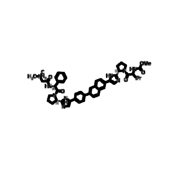 COC(=O)NC(C(=O)N1CCC[C@H]1c1ncc(-c2ccc3cc(-c4ccc(-c5cnc([C@@H]6CCCN6C(=O)[C@H](NC(=O)CN(C)C)c6ccccc6)[nH]5)cc4)ccc3c2)[nH]1)C(C)C